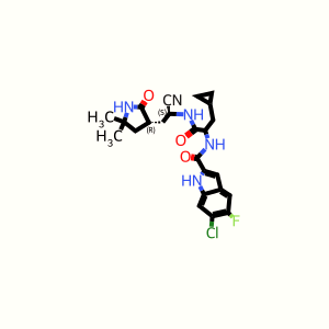 CC1(C)C[C@@H](C[C@@H](C#N)NC(=O)C(CC2CC2)NC(=O)c2cc3cc(F)c(Cl)cc3[nH]2)C(=O)N1